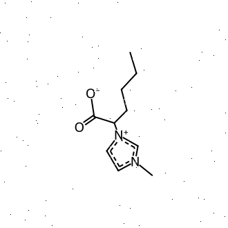 CCCCC(C(=O)[O-])[n+]1ccn(C)c1